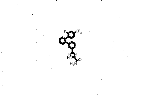 NC(=O)c1nc(-c2cccc(-c3ccccc3-c3ccc(C(F)(F)F)cc3F)c2)n[nH]1